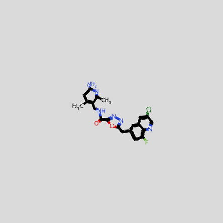 Cc1cc(N)nc(C)c1CNC(=O)c1nnc(Cc2cc(F)c3ncc(Cl)cc3c2)o1